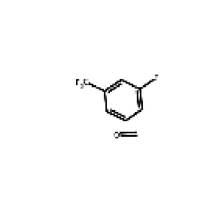 C=O.Fc1cccc(C(F)(F)F)c1